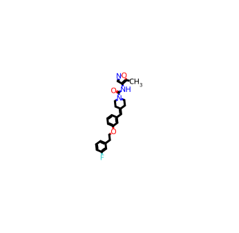 Cc1oncc1NC(=O)N1CCC(=Cc2cccc(OCCc3cccc(F)c3)c2)CC1